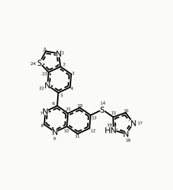 [c]1nc2ccc(-c3ncnc4ccc(Sc5cnn[nH]5)cc34)nc2s1